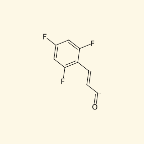 O=[C]C=Cc1c(F)cc(F)cc1F